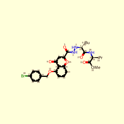 CC[C@@H](C)[C@H](NNC(=O)c1cc(=O)c2c(OCc3ccc(Br)cc3)cccc2o1)C(=O)N[C@H](C(=O)OC)C(C)C